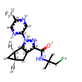 CC(C)(CF)NC(=O)c1nn(-c2cnc(C(F)(F)F)cn2)c2c1C[C@H]1C[C@@H]21